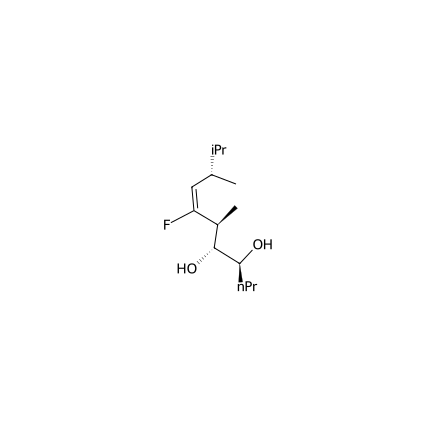 CCC[C@H](O)[C@H](O)[C@H](C)/C(F)=C\[C@@H](C)C(C)C